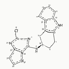 Clc1nc(N[C@@H]2CCc3[nH]c4ccccc4c3C2)n2nccc2n1